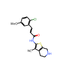 COc1ccc(Cl)c(C=CC(=O)Nc2sc3c(c2C#N)CCNC3)c1